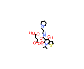 CC(C)n1c(=O)c(C(=O)NCCCN2CCCCC2)c(O)c2ccsc21.O=C(O)CCC(=O)O